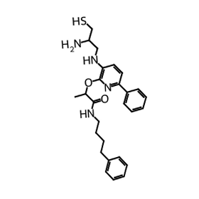 CC(Oc1nc(-c2ccccc2)ccc1NCC(N)CS)C(=O)NCCCCc1ccccc1